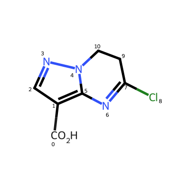 O=C(O)c1cnn2c1N=C(Cl)CC2